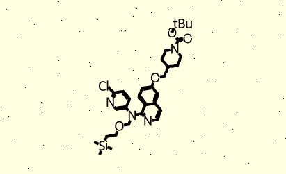 CC(C)(C)OC(=O)N1CCC(COc2ccc3c(N(COCC[Si](C)(C)C)c4ccc(Cl)nc4)nccc3c2)CC1